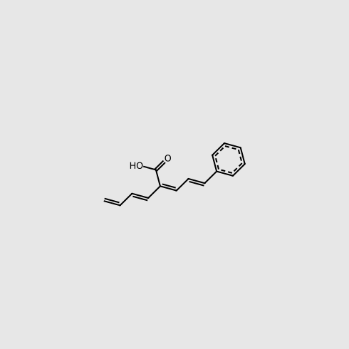 C=CC=CC(=CC=Cc1ccccc1)C(=O)O